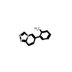 Cc1ccccc1-c1ccc2nncn2c1